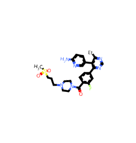 CCc1ncnc(-c2ccc(C(=O)N3CCN(CCCS(C)(=O)=O)CC3)c(F)c2)c1-c1ccc(N)nc1